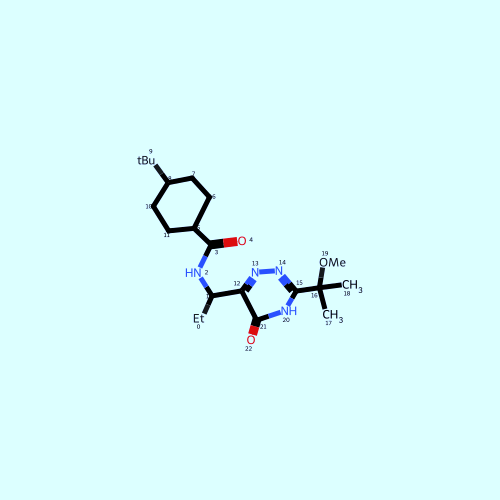 CCC(NC(=O)C1CCC(C(C)(C)C)CC1)c1nnc(C(C)(C)OC)[nH]c1=O